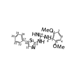 COc1cccc(OC)c1CNC(=N)Nc1ncc(-c2ccccc2)s1